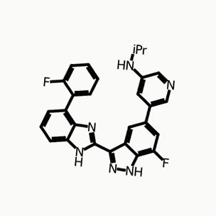 CC(C)Nc1cncc(-c2cc(F)c3[nH]nc(-c4nc5c(-c6ccccc6F)cccc5[nH]4)c3c2)c1